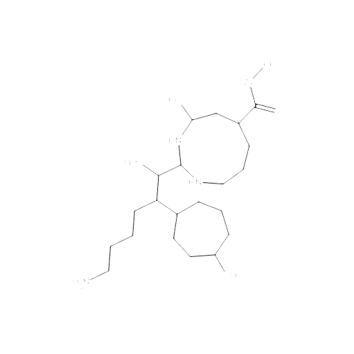 CNC(=O)C1CCCNC(C(C)C(CCCCN)C2CCCC(C)CC2)NC(C)C1